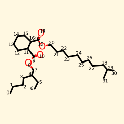 CCCCC(CC)COC(=O)C1CCCCC1C(=O)OCCCCCCCCCC(C)C